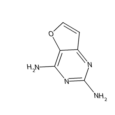 Nc1nc(N)c2occc2n1